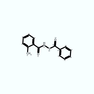 Cc1ccccc1C(=O)NSC(=O)c1ccccc1